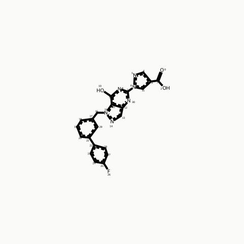 O=C(O)c1cnn(-c2nc(O)c3c(cnn3Cc3cccc(-c4ccc(F)cc4)c3)n2)c1